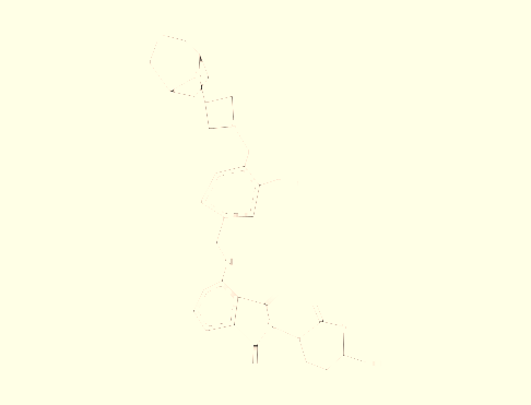 Cc1cc(CNc2cccc3c2C(=O)N(C2CCC(O)NC2=O)C3=O)ccc1CN1CC(N2C3CCC2COC3)C1